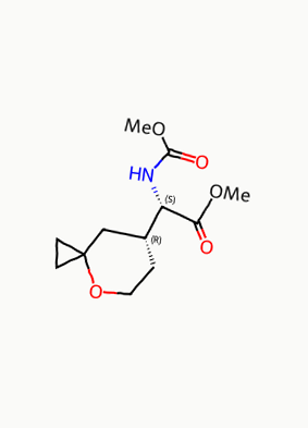 COC(=O)N[C@H](C(=O)OC)[C@@H]1CCOC2(CC2)C1